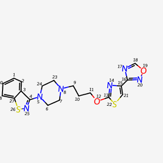 c1ccc2c(N3CCN(CCCOc4nc(-c5ncon5)cs4)CC3)nsc2c1